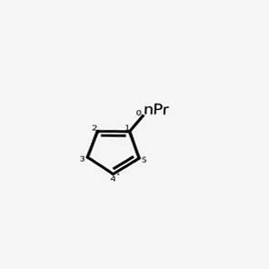 CCCC1=CC[C]=C1